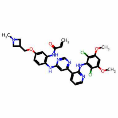 C=CC(=O)Nc1cc(OCC2CN(C)C2)ccc1Nc1cc(-c2cccnc2Nc2c(Cl)c(OC)cc(OC)c2Cl)ncn1